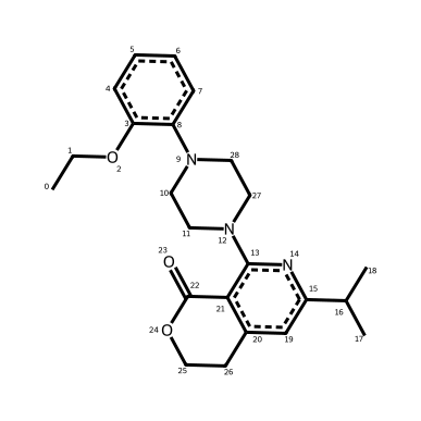 CCOc1ccccc1N1CCN(c2nc(C(C)C)cc3c2C(=O)OCC3)CC1